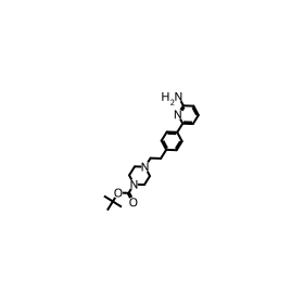 CC(C)(C)OC(=O)N1CCN(CCc2ccc(-c3cccc(N)n3)cc2)CC1